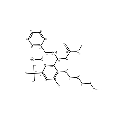 COCCOCOc1c(Br)cc(C(C)(C)C)cc1[C@H](CC(=O)OC)N[C@H](CO)c1ccccc1